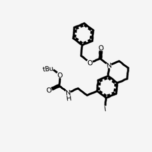 CC(C)(C)OC(=O)NCCc1cc2c(cc1I)CCCN2C(=O)OCc1ccccc1